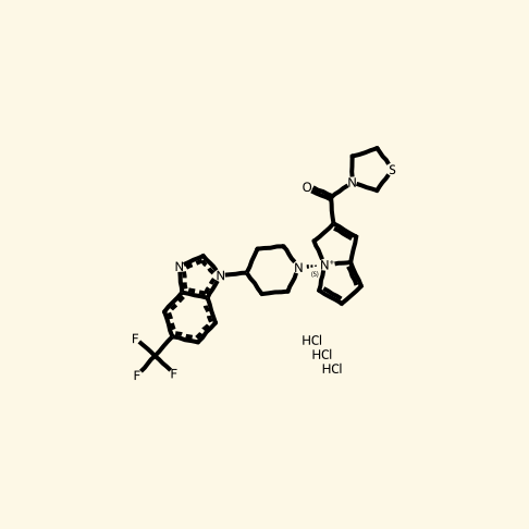 Cl.Cl.Cl.O=C(C1=CC2=CC=C[N@@+]2(N2CCC(n3cnc4cc(C(F)(F)F)ccc43)CC2)C1)N1CCSC1